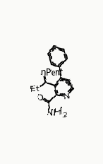 CCCCCC(CC)c1c(-c2ccccc2)ccnc1C(N)=O